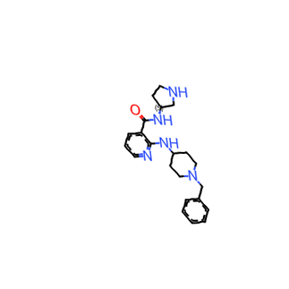 O=C(N[C@H]1CCNC1)c1cccnc1NC1CCN(Cc2ccccc2)CC1